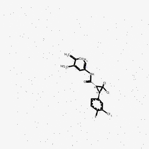 C=C(Cl)/C(=C\C(=C/C)NC(=O)[C@H]1[C@H](c2ccc(F)c(C(F)(F)F)c2)C1(Cl)Cl)C(=O)O